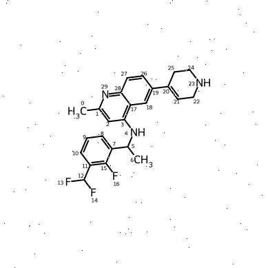 Cc1cc(NC(C)c2cccc(C(F)F)c2F)c2cc(C3=CCNCC3)ccc2n1